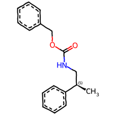 C[C@H](CNC(=O)OCc1ccccc1)c1ccccc1